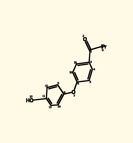 CC(C)C(=O)c1ccc(Oc2ccc(O)cc2)cc1